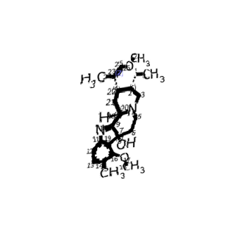 CC[C@@H]1CN2CC[C@@]3(O)C(=Nc4ccc(C)c(OC)c43)[C@@H]2C[C@@H]1/C(C)=C\OC